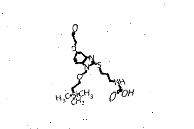 C[Si](C)(C)CCOCn1c(SCCCNC(=O)O)nc2cc(OCC=O)ccc21